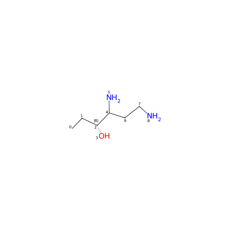 CC[C@@H](O)C(N)CCN